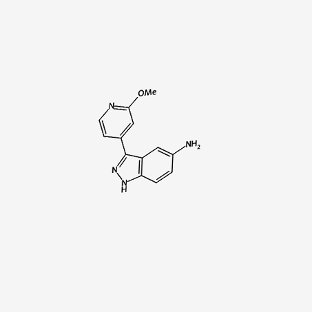 COc1cc(-c2n[nH]c3ccc(N)cc23)ccn1